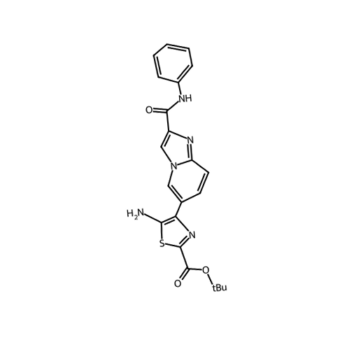 CC(C)(C)OC(=O)c1nc(-c2ccc3nc(C(=O)Nc4ccccc4)cn3c2)c(N)s1